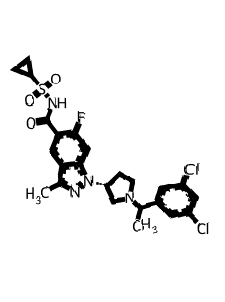 Cc1nn([C@@H]2CCN(C(C)c3cc(Cl)cc(Cl)c3)C2)c2cc(F)c(C(=O)NS(=O)(=O)C3CC3)cc12